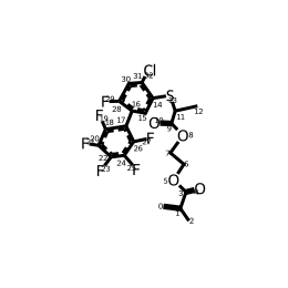 C=C(C)C(=O)OCCOC(=O)C(C)Sc1cc(-c2c(F)c(F)c(F)c(F)c2F)c(F)cc1Cl